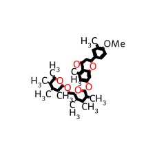 COc1ccc(C2CC(=O)c3c(C)cc(O[C@@H]4OC(CO[C@@H]5OC(C)[C@H](C)[C@H](C)C5C)[C@@H](C)[C@@H](C)C4C)cc3O2)cc1C